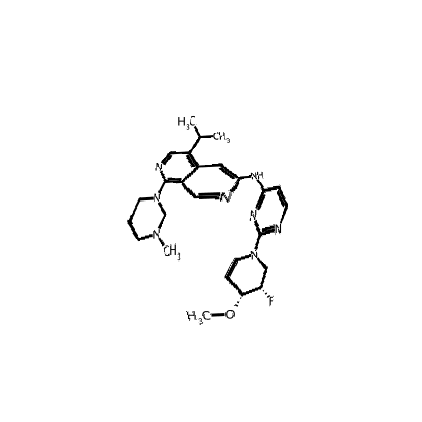 CO[C@@H]1CCN(c2nccc(Nc3cc4c(C(C)C)cnc(N5CCCN(C)C5)c4cn3)n2)C[C@@H]1F